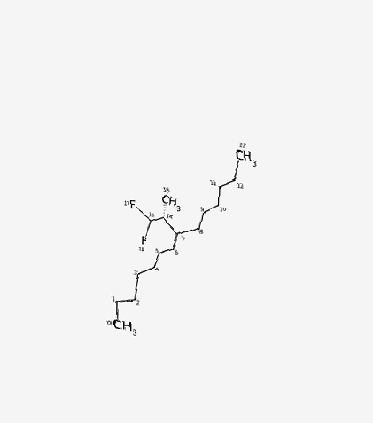 CCCCCCCC(CCCCCC)[C@@H](C)C(F)F